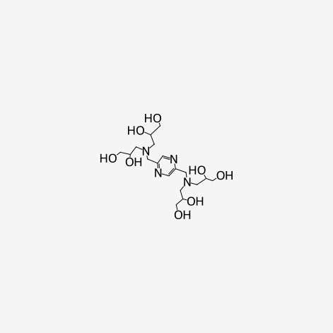 OCC(O)CN(Cc1cnc(CN(CC(O)CO)CC(O)CO)cn1)CC(O)CO